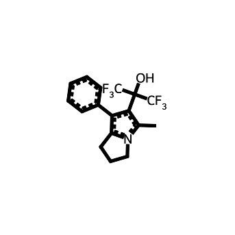 Cc1c(C(O)(C(F)(F)F)C(F)(F)F)c(-c2ccccc2)c2n1CCC2